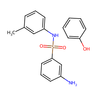 Cc1cccc(NS(=O)(=O)c2cccc(N)c2)c1.Oc1ccccc1